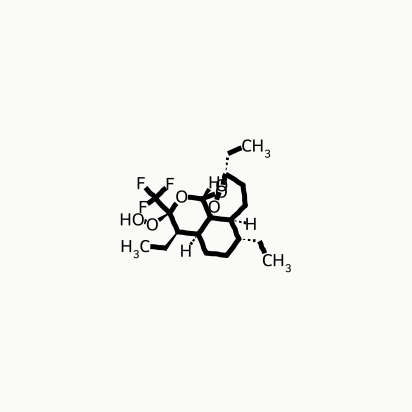 CC[C@@H]1CC[C@H]2[C@@H](CC)[C@](OO)(C(F)(F)F)O[C@@H]3O[C@]4(CC)CC[C@@H]1[C@]32OO4